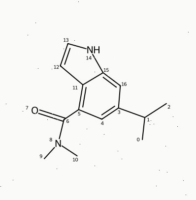 CC(C)c1cc(C(=O)N(C)C)c2cc[nH]c2c1